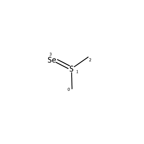 CS(C)=[Se]